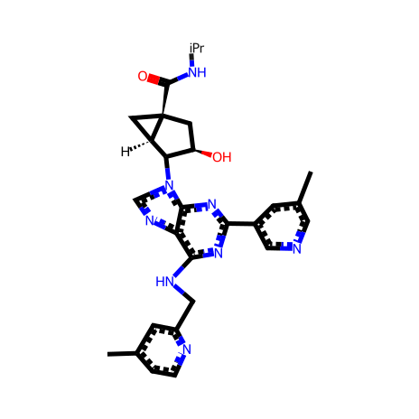 Cc1cncc(-c2nc(NCc3cc(C)ccn3)c3ncn(C4[C@H](O)C[C@@]5(C(=O)NC(C)C)C[C@H]45)c3n2)c1